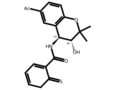 CC(=O)c1ccc2c(c1)[C@H](NC(=O)C1=CC=CCC1=S)[C@@H](O)C(C)(C)O2